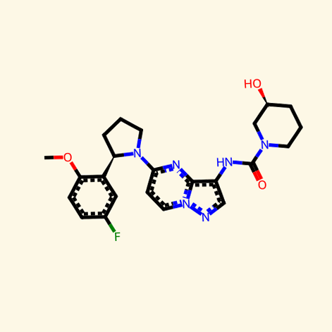 COc1ccc(F)cc1[C@H]1CCCN1c1ccn2ncc(NC(=O)N3CCC[C@H](O)C3)c2n1